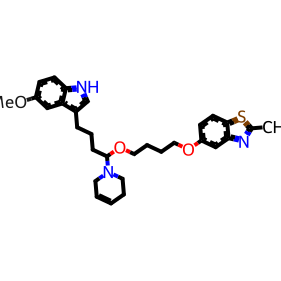 COc1ccc2[nH]cc(CCCC(OCCCCOc3ccc4sc(C)nc4c3)N3CC=CCC3)c2c1